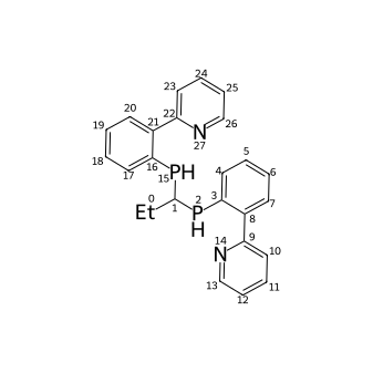 CCC(Pc1ccccc1-c1ccccn1)Pc1ccccc1-c1ccccn1